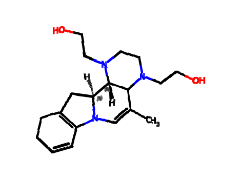 CC1=CN2C3=C(CCC=C3)C[C@H]2[C@H]2C1N(CCO)CCN2CCO